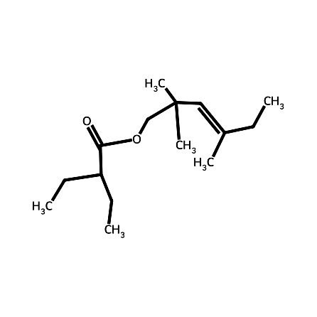 CCC(C)=CC(C)(C)COC(=O)C(CC)CC